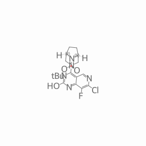 CC(C)(C)OC(=O)N1[C@@H]2CC[C@H]1CN(c1nc(O)nc3c(F)c(Cl)ncc13)C2